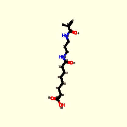 C=C(C)C(=O)NCCCNC(=O)CCCCCCC(=O)O